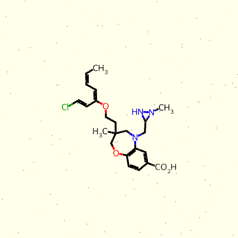 C\C=C/C=C(\C=C\Cl)OCCC1(C)COc2ccc(C(=O)O)cc2N(CC2NN2C)C1